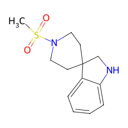 CS(=O)(=O)N1CCC2(CC1)CNc1ccccc12